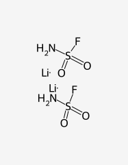 NS(=O)(=O)F.NS(=O)(=O)F.[Li].[Li]